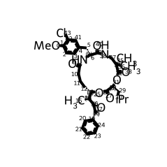 COc1ccc(C[C@H]2NC(=O)CCC[C@@H]([C@H](C)[C@H]3O[C@@H]3c3ccccc3)OC(=O)[C@H](CC(C)C)OC(=O)C(C)(C)CNC2=O)cc1Cl